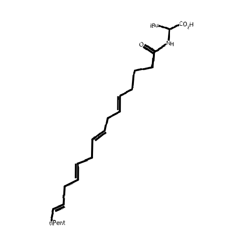 CCCCCC=CCC=CCC=CCC=CCCCC(=O)NC(C(=O)O)C(C)CC